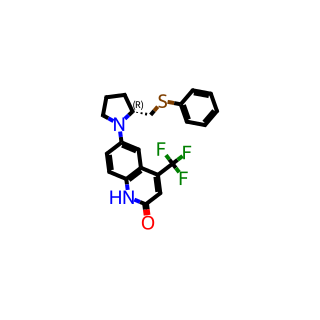 O=c1cc(C(F)(F)F)c2cc(N3CCC[C@@H]3CSc3ccccc3)ccc2[nH]1